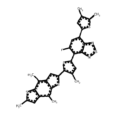 Cc1cc2c(C)c3sc(-c4sc(-c5c(F)cc(-c6cc(C)c(C)s6)c6nsnc56)cc4C)cc3c(C)c2s1